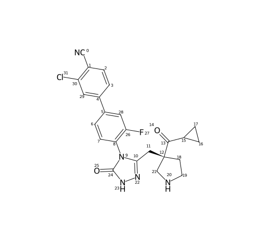 N#Cc1ccc(-c2ccc(-n3c(C[C@@]4(C(=O)C5CC5)CCNC4)n[nH]c3=O)c(F)c2)cc1Cl